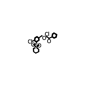 O=C(c1ccccc1)C(Cl)OCc1ccc(Cl)c(S(=O)(=O)N2CCCCC2)c1